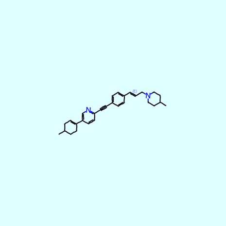 CC1CC=C(c2ccc(C#Cc3ccc(/C=C/CN4CCC(C)CC4)cc3)nc2)CC1